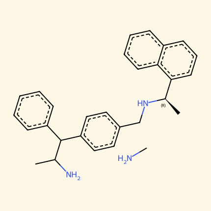 CC(N)C(c1ccccc1)c1ccc(CN[C@H](C)c2cccc3ccccc23)cc1.CN